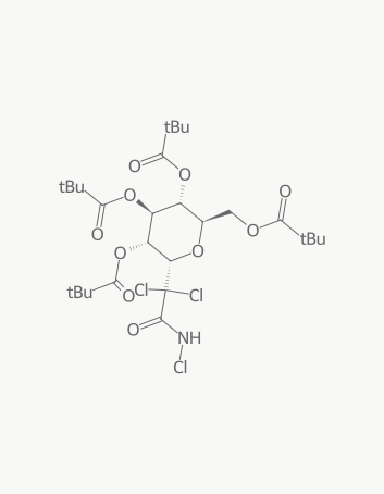 CC(C)(C)C(=O)OC[C@H]1O[C@H](C(Cl)(Cl)C(=O)NCl)[C@H](OC(=O)C(C)(C)C)[C@@H](OC(=O)C(C)(C)C)[C@@H]1OC(=O)C(C)(C)C